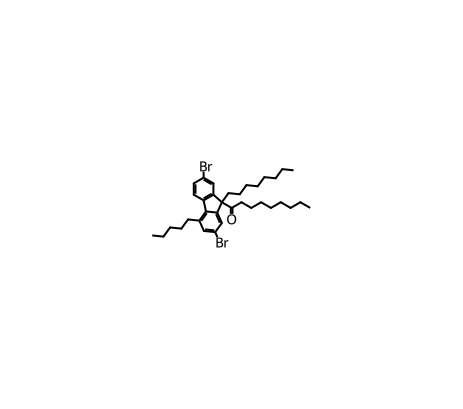 CCCCCCCCC(=O)C1(CCCCCCCC)c2cc(Br)ccc2-c2c(CCCCC)cc(Br)cc21